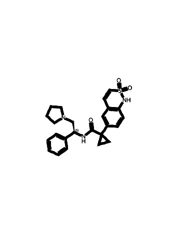 O=C(N[C@H](CN1CCCC1)c1ccccc1)C1(c2ccc3c(c2)C=CS(=O)(=O)N3)CC1